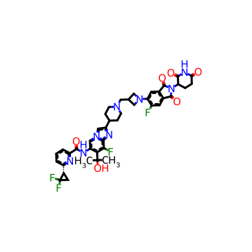 CC(C)(O)c1c(NC(=O)c2cccc([C@@H]3CC3(F)F)n2)cn2cc(C3CCN(CC4CN(c5cc6c(cc5F)C(=O)N(C5CCC(=O)NC5=O)C6=O)C4)CC3)nc2c1F